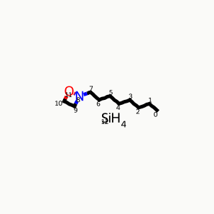 CCCCCCCCN1CCO1.[SiH4]